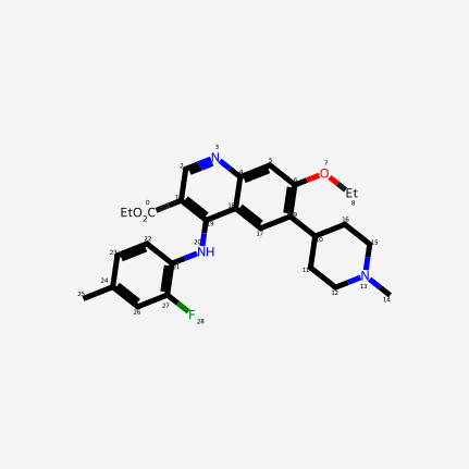 CCOC(=O)c1cnc2cc(OCC)c(C3CCN(C)CC3)cc2c1Nc1ccc(C)cc1F